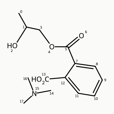 CC(O)COC(=O)c1ccccc1C(=O)O.CN(C)C